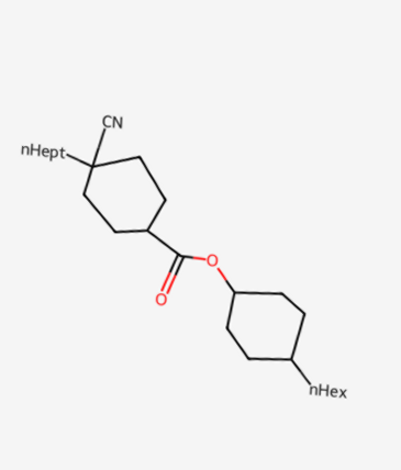 CCCCCCCC1(C#N)CCC(C(=O)OC2CCC(CCCCCC)CC2)CC1